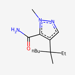 CCCCC(C)(CC)c1cnn(C)c1C(N)=O